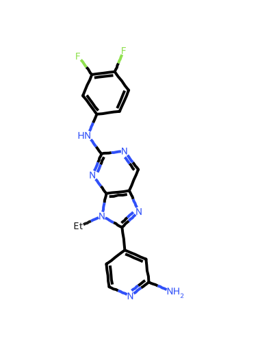 CCn1c(-c2ccnc(N)c2)nc2cnc(Nc3ccc(F)c(F)c3)nc21